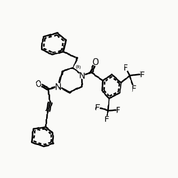 O=C(C#Cc1ccccc1)N1CCN(C(=O)c2cc(C(F)(F)F)cc(C(F)(F)F)c2)[C@H](Cc2ccccc2)C1